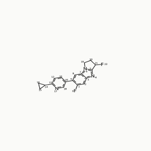 Fc1cc2nc3n(c2cc1-c1ccc(C2CC2)nc1)CCC3F